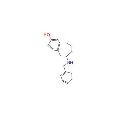 Oc1ccc2c(c1)CCCC(NCc1ccccc1)C2